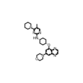 Cc1cnc(N[C@H]2CC[C@@H](Oc3cc(N4CCOCC4)cc4nccnc34)CC2)nc1N1CCCCC1